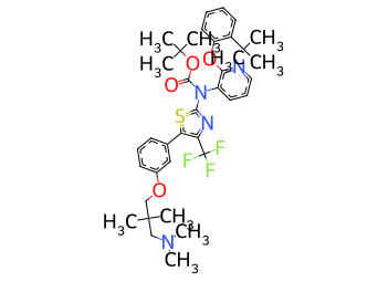 CN(C)CC(C)(C)COc1cccc(-c2sc(N(C(=O)OC(C)(C)C)c3cccnc3Oc3ccccc3C(C)(C)C)nc2C(F)(F)F)c1